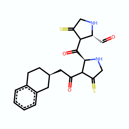 O=C[C@H]1NCC(=S)C1C(=O)[C@H]1NCC(=S)C1C(=O)C[C@@H]1CCc2ccccc2C1